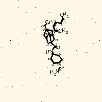 C=C(/C=C\C=C/C)[C@]12CC3CC(C(=O)N[C@H]4CC[C@@H](CN)CC4)(C[C@](CC)(C3)C1)C2